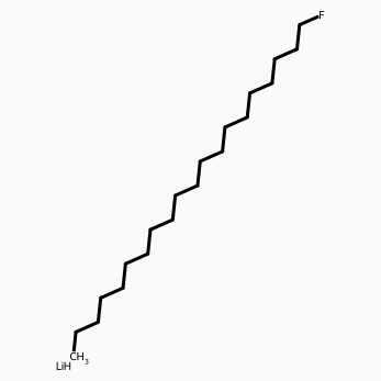 CCCCCCCCCCCCCCCCCCCCF.[LiH]